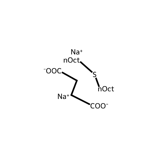 CCCCCCCCSCCCCCCCC.O=C([O-])CCC(=O)[O-].[Na+].[Na+]